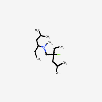 CCC(CC(C)C)N(C)CC(F)(CC)CC(C)C